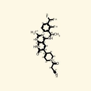 Cc1nc(N[C@H](C)c2cccc(C(F)F)c2F)c2cc(C3=CCN(C(=O)CC#N)CC3)c(=O)[nH]c2n1